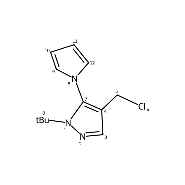 CC(C)(C)n1ncc(CCl)c1-n1cccc1